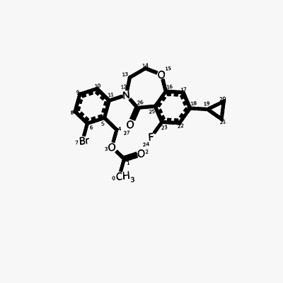 CC(=O)OCc1c(Br)cccc1N1CCOc2cc(C3CC3)cc(F)c2C1=O